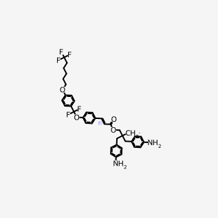 [CH2]C(COC(=O)/C=C/c1ccc(OC(F)(F)c2ccc(OCCCCCC(F)(F)F)cc2)cc1)(Cc1ccc(N)cc1)Cc1ccc(N)cc1